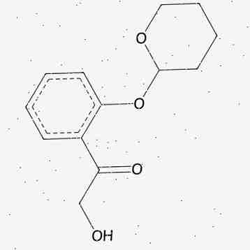 O=C(CO)c1ccccc1OC1CCCCO1